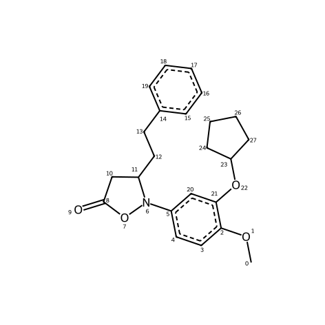 COc1ccc(N2OC(=O)CC2CCc2ccccc2)cc1OC1CCCC1